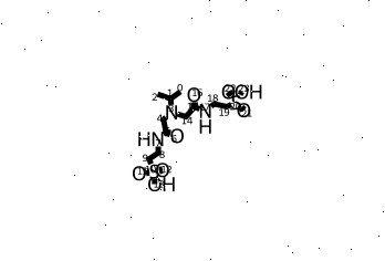 CC(C)N(CC(=O)NCCS(=O)(=O)O)CC(=O)NCCS(=O)(=O)O